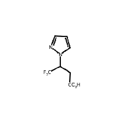 O=C(O)CC(n1cccn1)C(F)(F)F